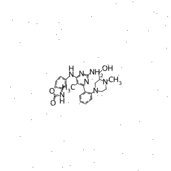 Cc1c(Nc2ccc3oc(=O)[nH]c3c2)nc(N)nc1-c1ccccc1N1CCN(C)C(CO)C1